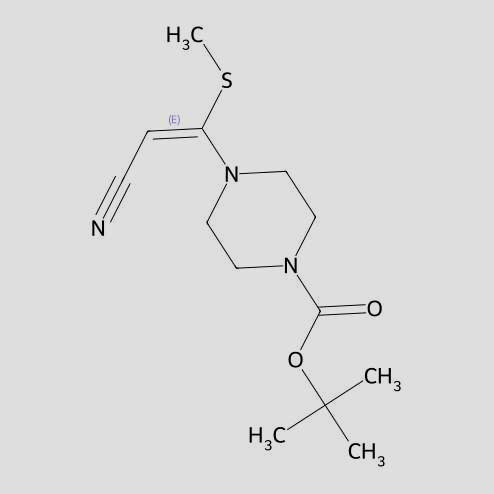 CS/C(=C/C#N)N1CCN(C(=O)OC(C)(C)C)CC1